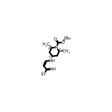 CCC(=N)/C=C\N[C@@H]1C[C@@H](C)N(C(=O)OC(C)(C)C)[C@@H](C)C1